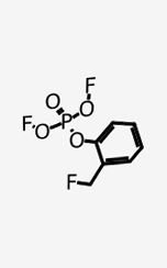 O=P(OF)(OF)Oc1ccccc1CF